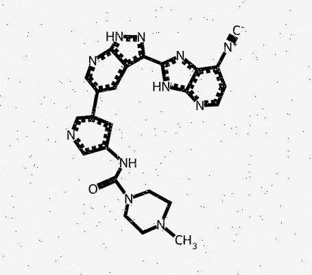 [C-]#[N+]c1ccnc2[nH]c(-c3n[nH]c4ncc(-c5cncc(NC(=O)N6CCN(C)CC6)c5)cc34)nc12